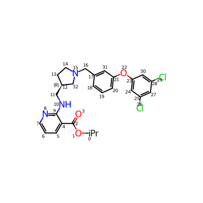 CC(C)OC(=O)c1cccnc1NC[C@H]1CCN(Cc2cccc(Oc3cc(Cl)cc(Cl)c3)c2)C1